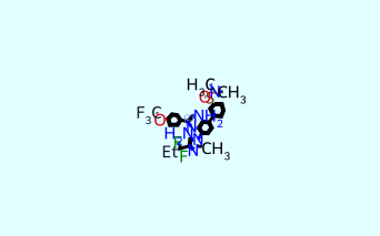 CCC(F)(F)c1cn(-c2ccc(-c3cccc([S+]([O-])N(C)C)c3)cc2N(N)/C(=C\N)c2ccc(OC(F)(F)F)cc2)c(C)n1